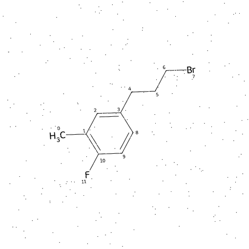 Cc1cc(CCCBr)ccc1F